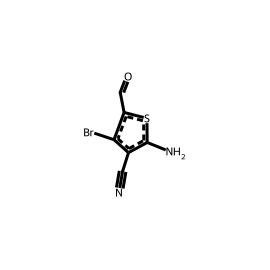 N#Cc1c(N)sc(C=O)c1Br